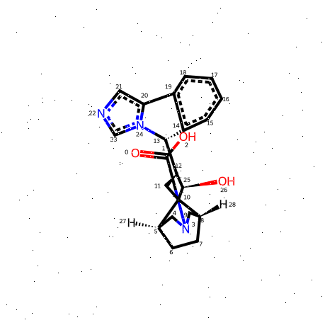 O=C(O)N1C[C@H]2CC[C@H](C1)C21C[C@@H]([C@H]2c3ccccc3-c3cncn32)[C@H]1O